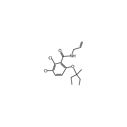 C=CCNC(=O)c1c(OC(C)(CC)CC)ccc(Cl)c1Cl